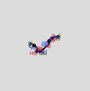 Cc1ncsc1-c1ccc(CNC(=O)[C@@H]2C[C@@H](O)CN2C(=O)[C@@H](NC(=O)CCCCCNC(=O)c2cc3cc(N4CC[C@@](O)(C(=O)NCc5cc(F)cc(F)c5)C4=O)ccc3[nH]2)C(C)(C)C)cc1